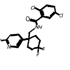 O=C(NCC1(c2ccc(F)nc2)CCC(F)(F)CC1)c1cc(Cl)ccc1Cl